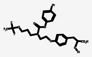 CCOC(Cc1ccc(OCCN(CCCOC(F)(F)C(F)(F)F)C(=O)Oc2ccc(C(C)C)cc2)cc1)C(=O)O